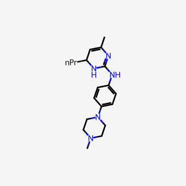 CCCC1C=C(C)N=C(Nc2ccc(N3CCN(C)CC3)cc2)N1